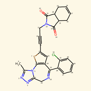 Cc1nnc2n1-c1sc(C#CCN3C(=O)C4CC=CCC4C3=O)cc1C(c1ccccc1Cl)=NC2